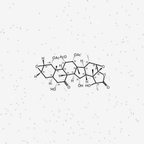 CC(=O)O[C@H]1[C@H]2[C@@H](C(=O)[C@H](O)[C@H]3C[C@@H]4O[C@@H]4[C@H](OC(C)=O)[C@]23C)[C@@H]2[C@@H](O)[C@@H]3[C@H]([C@H](C)[C@H]4O[C@]45OC(=O)[C@@](C)(O)[C@]35C)[C@@]2(C)[C@H]1OC(C)=O